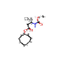 CC(C)(C)OC(=O)NC(CC(=O)OC1CCCCCCCC1)C(=O)O